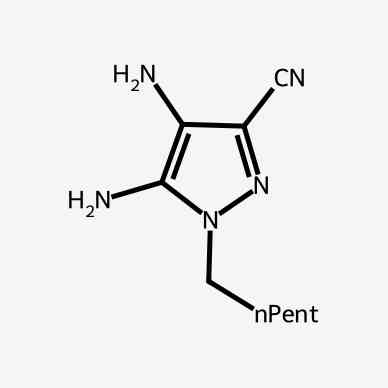 CCCCCCn1nc(C#N)c(N)c1N